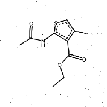 CCOC(=O)c1c(C)csc1NC(C)=O